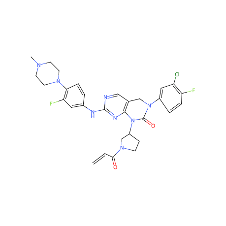 C=CC(=O)N1CCC(N2C(=O)N(c3ccc(F)c(Cl)c3)Cc3cnc(Nc4ccc(N5CCN(C)CC5)c(F)c4)nc32)C1